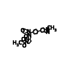 CC(O)C(=O)N1CCC(CN2C(=O)C3(CCOCC3)N=C2c2ccc(-c3ccc4c(cnn4C)c3)cc2)C1